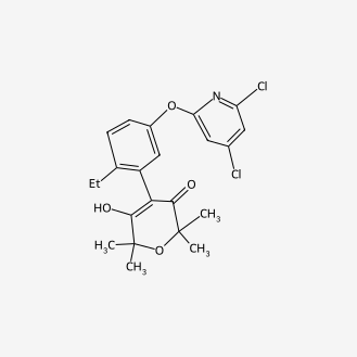 CCc1ccc(Oc2cc(Cl)cc(Cl)n2)cc1C1=C(O)C(C)(C)OC(C)(C)C1=O